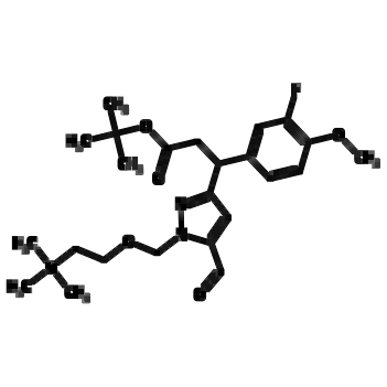 COc1ccc(C(CC(=O)OC(C)(C)C)c2cc(C=O)n(COCC[Si](C)(C)C)n2)cc1F